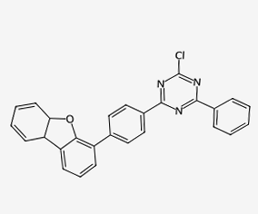 Clc1nc(-c2ccccc2)nc(-c2ccc(-c3cccc4c3OC3C=CC=CC43)cc2)n1